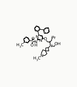 Cc1cccc(S(=O)(=O)Nc2nc(OC[C@@H](CC(C)C)N(CO)C3CC4(CCN(C)CC4)C3)cc(-c3ccccc3-c3ccccc3)n2)c1